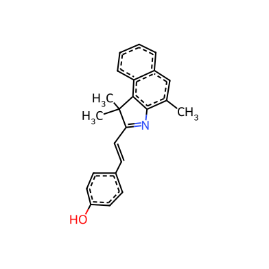 Cc1cc2ccccc2c2c1N=C(C=Cc1ccc(O)cc1)C2(C)C